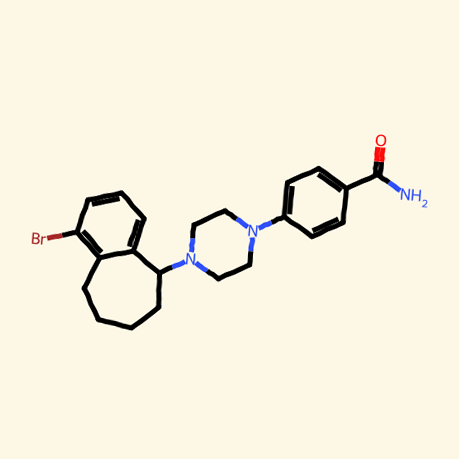 NC(=O)c1ccc(N2CCN(C3CCCCc4c(Br)cccc43)CC2)cc1